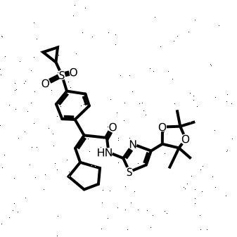 CC1(C)OC(c2csc(NC(=O)C(=CC3CCCC3)c3ccc(S(=O)(=O)C4CC4)cc3)n2)C(C)(C)O1